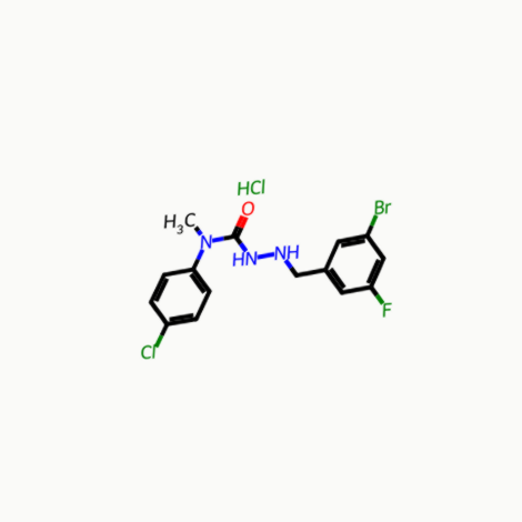 CN(C(=O)NNCc1cc(F)cc(Br)c1)c1ccc(Cl)cc1.Cl